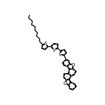 CCCCCCCCCCc1ccc(-c2ccc(-c3ccc(-c4ccc5c(c4)oc4ccc6c(ccc7oc8ccccc8c76)c45)s3)s2)s1